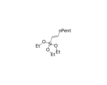 CCCCCC=C[Si](OCC)(OCC)OCC